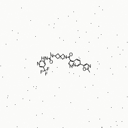 Cc1ncc(-c2ccc3c(C(=O)N4CC5(CC(N(C)C(=O)Nc6cncc(C(F)(F)F)c6)C5)C4)cnn3c2)o1